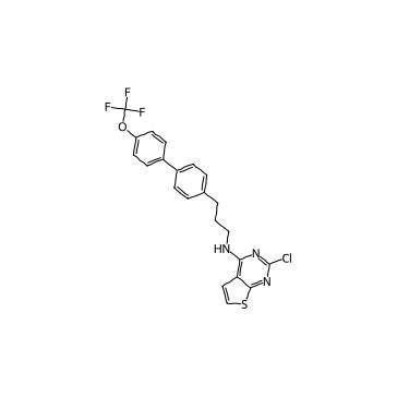 FC(F)(F)Oc1ccc(-c2ccc(CCCNc3nc(Cl)nc4sccc34)cc2)cc1